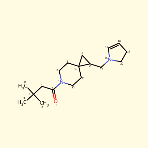 CC(C)(C)CC(=O)N1CCC2(CC1)CC2CN1C=CCC1